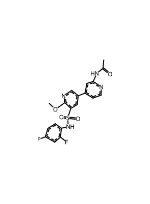 COc1ncc(-c2ccnc(NC(C)=O)c2)cc1S(=O)(=O)Nc1ccc(F)cc1F